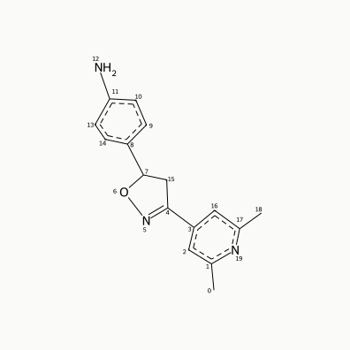 Cc1cc(C2=NOC(c3ccc(N)cc3)C2)cc(C)n1